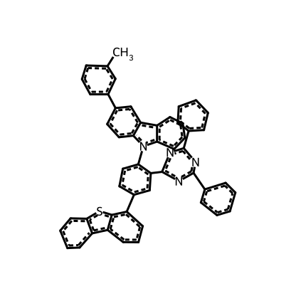 Cc1cccc(-c2ccc3c(c2)c2ccccc2n3-c2ccc(-c3cccc4c3sc3ccccc34)cc2-c2nc(-c3ccccc3)nc(-c3ccccc3)n2)c1